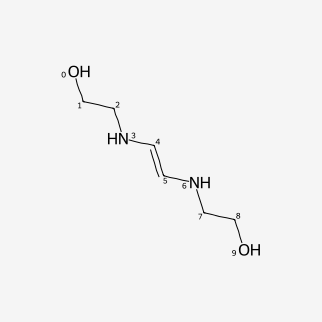 OCCNC=CNCCO